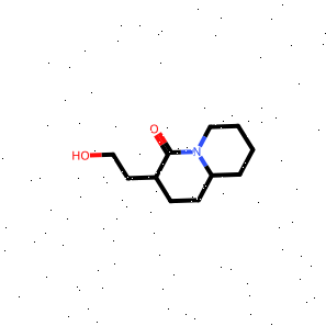 O=C1C(CCO)CCC2CCCCN12